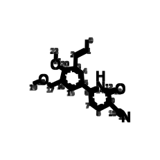 CC=Cc1cc(-c2ccc(C#N)c(=O)[nH]2)cc(COC)c1OC